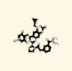 CN(C)C(=O)c1cccc(CC(=O)N2CCS[C@H]2C(=O)O[C@@H](Cc2c(Cl)c[n+]([O-])cc2Cl)c2ccc(OC(F)F)c(OCC3CC3)c2)c1